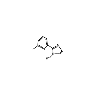 Cc1cccc(-c2nncn2C(C)C)n1